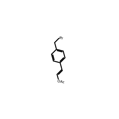 CC(=O)OC=Cc1ccc(CC(C)C)cc1